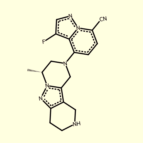 C[C@@H]1CN(c2ccc(C#N)n3ncc(F)c23)Cc2c3c(nn21)CCNC3